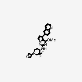 COc1nc(N[C@@H]2CCN(C3COC3)CC2(F)F)nn2ccc(-c3ccc4ncccc4c3)c12